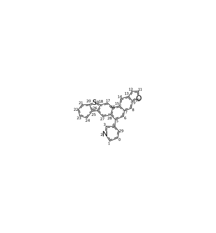 c1cncc(-c2cc3cc4occc4cc3c3cc4sc5ccccc5c4cc23)c1